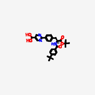 CC(C)(C)OC(=O)[C@H](Cc1ccc(-c2ncc(C(O)O)cn2)cc1)NC(=O)c1ccc(C(C)(C)C)cc1